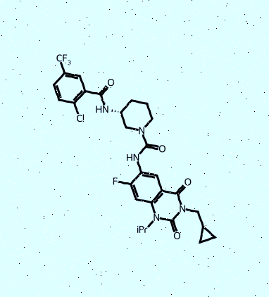 CC(C)n1c(=O)n(CC2CC2)c(=O)c2cc(NC(=O)N3CCC[C@@H](NC(=O)c4cc(C(F)(F)F)ccc4Cl)C3)c(F)cc21